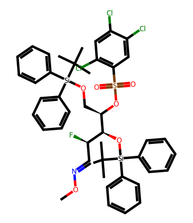 CON=C[C@@H](F)[C@H](O[Si](c1ccccc1)(c1ccccc1)C(C)(C)C)[C@@H](CO[Si](c1ccccc1)(c1ccccc1)C(C)(C)C)OS(=O)(=O)c1cc(Cl)c(Cl)cc1Cl